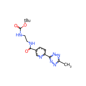 Cc1nnc(-c2ccc(C(=O)NCCNC(=O)OC(C)(C)C)cn2)nn1